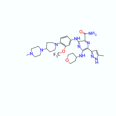 Cc1cc(-c2nc(C(N)=O)c(Nc3ccc(N4CCC(N5CCN(C)CC5)CC4)c(OC(F)(F)F)c3)nc2NC2CCOCC2)n[nH]1